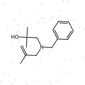 C=C(C)CN(Cc1ccccc1)CC(C)(C)O